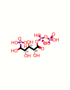 O=C(OP(=O)(O)OP(=O)(O)O)[C@H](O)[C@H](O)[C@H](O)C(O)P(=O)(O)O